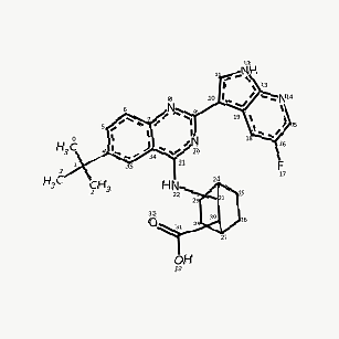 CC(C)(C)c1ccc2nc(-c3c[nH]c4ncc(F)cc34)nc(NC3C4CCC(CC4)C3C(=O)O)c2c1